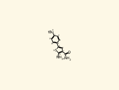 CC(C)(C)c1ccc(-c2cc(C(N)=O)c(N)s2)cc1